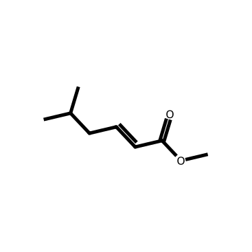 COC(=O)C=CCC(C)C